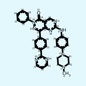 CN1CCN(c2ccc(Nc3ncc4c(=O)n(-c5ccccc5)nc(-c5ccc(-c6ncccn6)cc5)c4n3)cc2)CC1